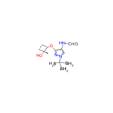 BC(B)(B)n1cc(NC=O)c(OC2CC[C@@]2(C)O)n1